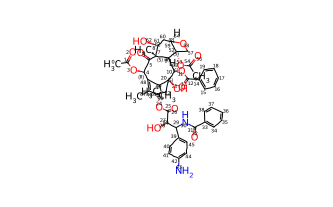 CC(=O)O[C@H]1C(=O)[C@@]2(C)[C@H]([C@H](OC(=O)c3ccccc3)[C@]3(O)C[C@H](OC(=O)[C@H](O)C(NC(=O)c4ccccc4)c4ccc(N)cc4)C(C)=C1C3(C)C)[C@]1(OC(C)=O)CO[C@@H]1C[C@@H]2O